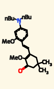 CCCCN(CCCC)c1ccc(/C=C/C2=C(OC)C(=O)CC(C)(C)C2)c(OC)c1